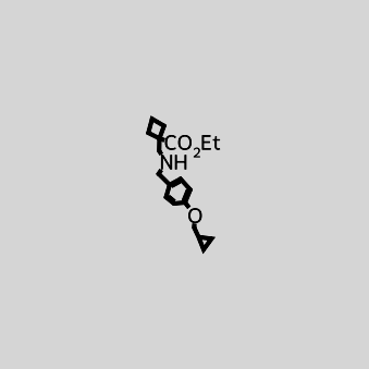 CCOC(=O)C1(CNCc2ccc(OCC3CC3)cc2)CCC1